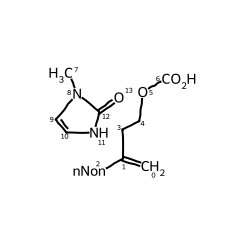 C=C(CCCCCCCCC)CCOC(=O)O.Cn1cc[nH]c1=O